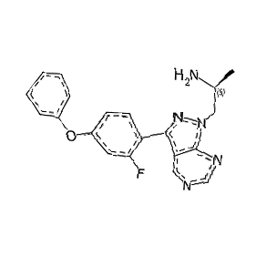 C[C@H](N)Cn1nc(-c2ccc(Oc3ccccc3)cc2F)c2cncnc21